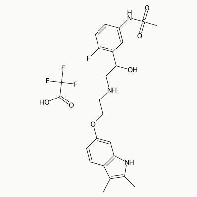 Cc1[nH]c2cc(OCCNCC(O)c3cc(NS(C)(=O)=O)ccc3F)ccc2c1C.O=C(O)C(F)(F)F